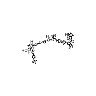 Cc1cc(C)c(CNC(=O)c2cc(-c3ccc(N4CCN(CCC(OCCOCCOCCOCCOCC(=O)N[C@H](C(=O)N5C[C@H](O)C[C@H]5C(=O)NCc5ccc(-c6scnc6C)cc5)C(C)(C)C)C(N)=O)CC4)nc3)cc3c2cnn3C(C)C)c(=O)[nH]1